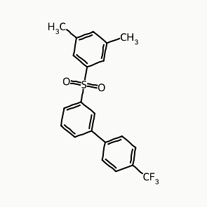 Cc1cc(C)cc(S(=O)(=O)c2cccc(-c3ccc(C(F)(F)F)cc3)c2)c1